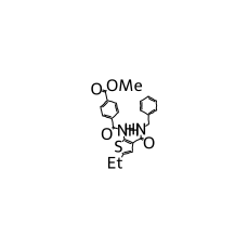 CCc1cc(C(=O)NCc2ccccc2)c(NC(=O)c2ccc(C(=O)OC)cc2)s1